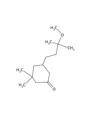 COC(C)(C)CCC1CC(=O)CC(C)(C)C1